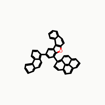 c1ccc2c(c1)ccc1c(-c3cc(-c4ccc5ccc6cccc7ccc4c5c67)c4oc5ccc6ccccc6c5c4c3)cccc12